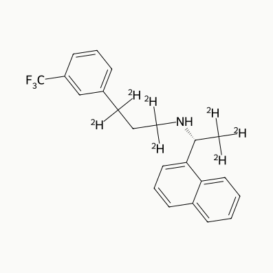 [2H]C([2H])(CC([2H])([2H])c1cccc(C(F)(F)F)c1)N[C@@H](c1cccc2ccccc12)C([2H])([2H])[2H]